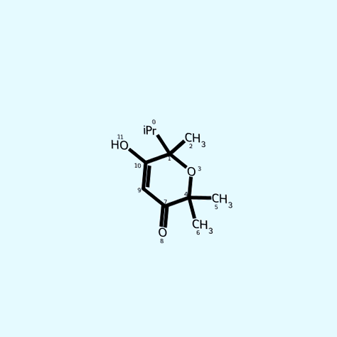 CC(C)C1(C)OC(C)(C)C(=O)C=C1O